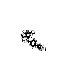 Clc1nc(Nc2ccc(-c3cn[nH]c3)cc2)c2ccsc2n1